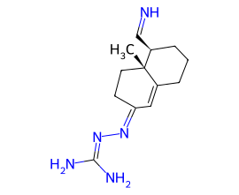 C[C@]12CC/C(=N\N=C(N)N)C=C1CCC[C@@H]2C=N